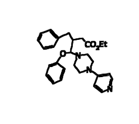 CCOC(=O)CC(Cc1ccccc1)C(Oc1ccccc1)N1CCN(c2ccncc2)CC1